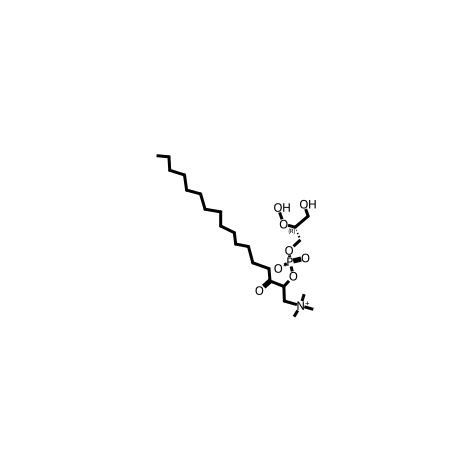 CCCCCCCCCCCCCCC(=O)C(C[N+](C)(C)C)OP(=O)([O-])OC[C@@H](CO)OO